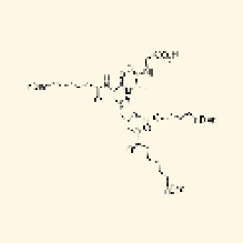 CCCCCCCCCCCCCCCC(=O)N[C@@H](CSCC(COC(=O)CCCCCCCCCCCCCCC)OC(=O)CCCCCCCCCCCCCCC)C(=O)N[C@@H](C)C(=O)NCC(=O)O